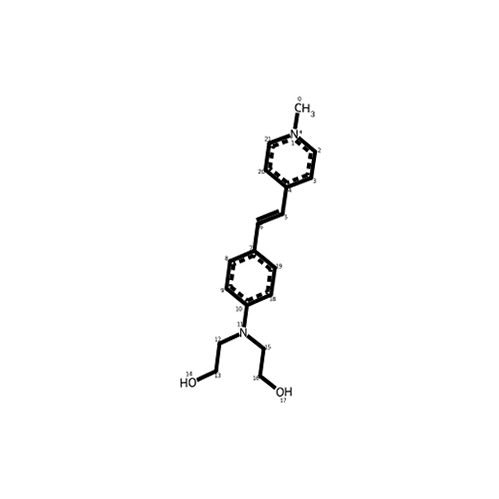 C[n+]1ccc(/C=C/c2ccc(N(CCO)CCO)cc2)cc1